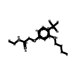 CCCCOc1cc(OCC(=O)OCC)ccc1C(C)(C)C